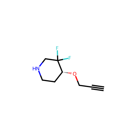 C#CCO[C@@H]1CCNCC1(F)F